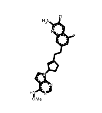 CONc1ncnc2c1ccn2C1C=C(CCc2cc(F)c3cc(Cl)c(N)nc3c2)CC1